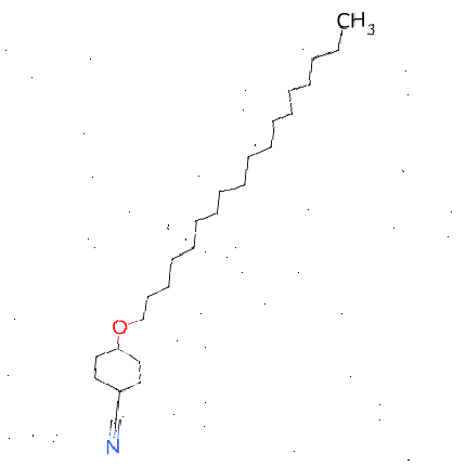 CCCCCCCCCCCCCCCCCCOC1CCC(C#N)CC1